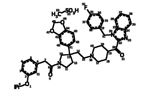 CC(C)Oc1cccc(CC(=O)N2CCC(CCN3CCC(C(=O)c4nc5ccccc5n4Cc4ccc(F)cc4)CC3)(c3ccc4c(c3)OCO4)C2)c1.CS(=O)(=O)O